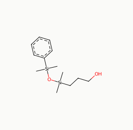 C[Si](C)(CCCO)O[Si](C)(C)c1ccccc1